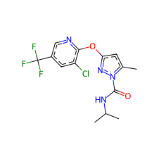 Cc1cc(Oc2ncc(C(F)(F)F)cc2Cl)nn1C(=O)NC(C)C